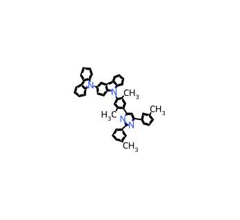 Cc1cccc(-c2cc(-c3cc(C)c(-n4c5ccccc5c5cc(-n6c7ccccc7c7ccccc76)ccc54)cc3C)nc(-c3cccc(C)c3)n2)c1